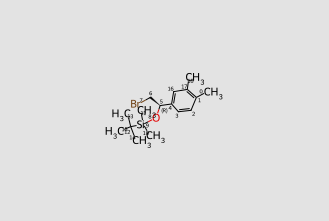 Cc1ccc([C@H](CBr)O[Si](C)(C)C(C)(C)C)cc1C